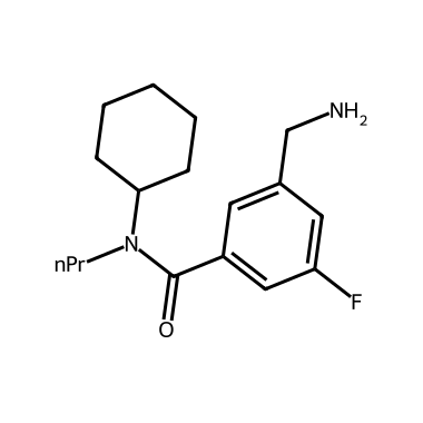 CCCN(C(=O)c1cc(F)cc(CN)c1)C1CCCCC1